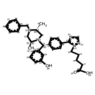 C[C@@H]1CN([C@H](c2ccc(-c3ncnn3CCCCC(=O)O)cc2)c2cccc(O)c2)[C@@H](C)CN1Cc1ccccc1